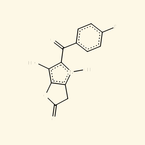 Cc1c2c(n(C)c1C(=O)c1ccc(F)cc1)CC(=O)O2